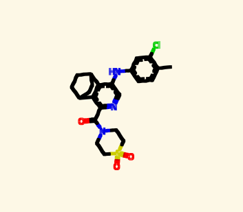 Cc1ccc(Nc2cnc(C(=O)N3CCS(=O)(=O)CC3)c3c2C2CCC3CC2)cc1Cl